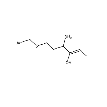 CC=C(O)C(N)CCSCC(C)=O